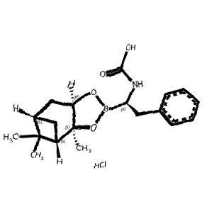 CC1(C)[C@@H]2C[C@H]3OB([C@H](Cc4ccccc4)NC(=O)O)O[C@@]3(C)[C@H]1C2.Cl